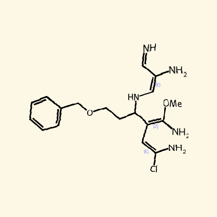 CO/C(N)=C(/C=C(\N)Cl)C(CCOCc1ccccc1)N/C=C(/N)C=N